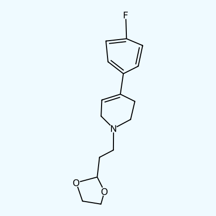 Fc1ccc(C2=CCN(CCC3OCCO3)CC2)cc1